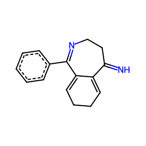 N=C1CCN=C(c2ccccc2)C2=CCCC=C12